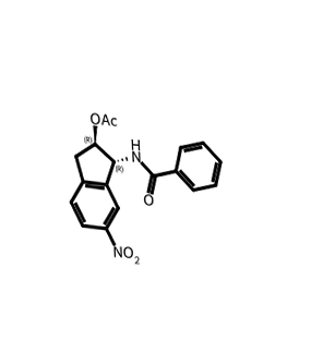 CC(=O)O[C@@H]1Cc2ccc([N+](=O)[O-])cc2[C@H]1NC(=O)c1ccccc1